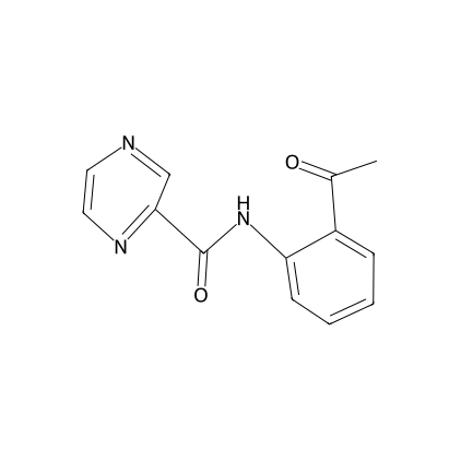 CC(=O)c1ccccc1NC(=O)c1cnccn1